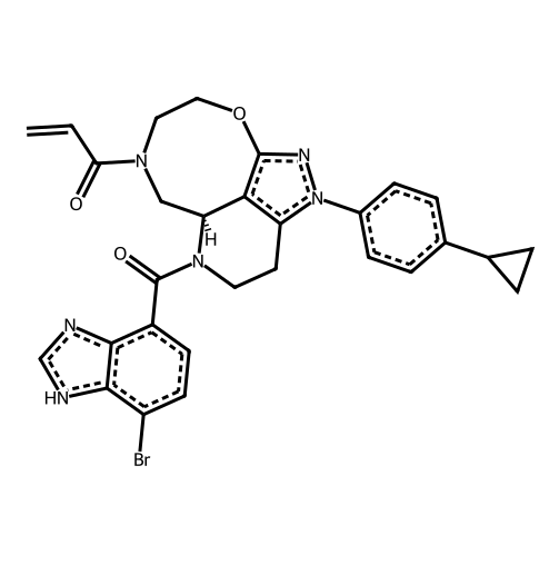 C=CC(=O)N1CCOc2nn(-c3ccc(C4CC4)cc3)c3c2[C@H](C1)N(C(=O)c1ccc(Br)c2[nH]cnc12)CC3